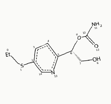 CCSc1ccc([C@@H](CO)OC(N)=O)nc1